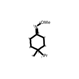 CON=C1CCC(C)(C(C)C)CC1